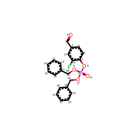 O=Cc1ccc(OP(=O)(OCc2ccccc2)OCc2ccccc2)c(F)c1